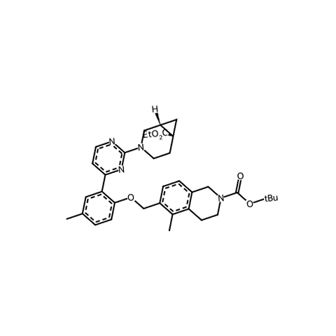 CCOC(=O)[C@@]12CCN(c3nccc(-c4cc(C)ccc4OCc4ccc5c(c4C)CCN(C(=O)OC(C)(C)C)C5)n3)C[C@@H]1C2